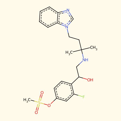 CC(C)(CCn1cnc2ccccc21)NCC(O)c1ccc(OS(C)(=O)=O)cc1F